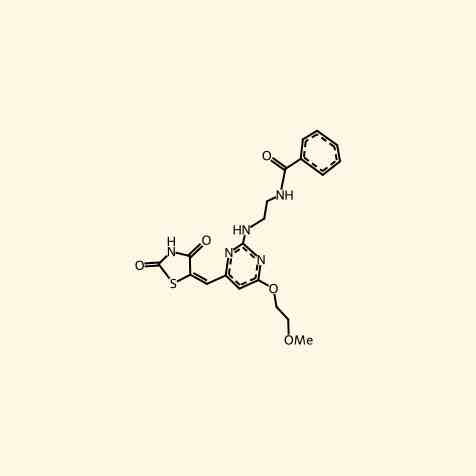 COCCOc1cc(C=C2SC(=O)NC2=O)nc(NCCNC(=O)c2ccccc2)n1